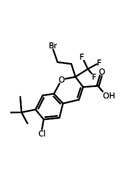 CC(C)(C)c1cc2c(cc1Cl)C=C(C(=O)O)C(CCBr)(C(F)(F)F)O2